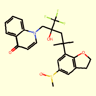 C[S+]([O-])c1cc2c(c(C(C)(C)CC(O)(Cn3ccc(=O)c4ccccc43)C(F)(F)F)c1)OCC2